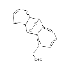 O=CCc1cccc2c1C1CCC2c2ccccc21